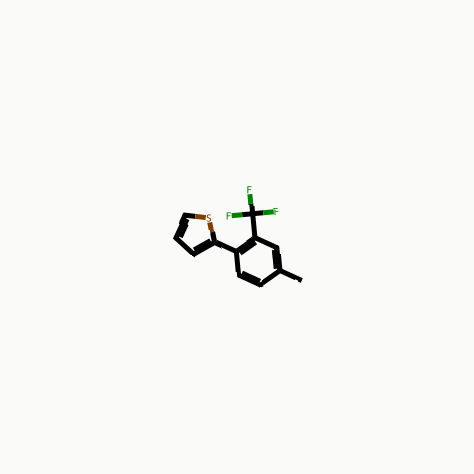 Cc1ccc(-c2cccs2)c(C(F)(F)F)c1